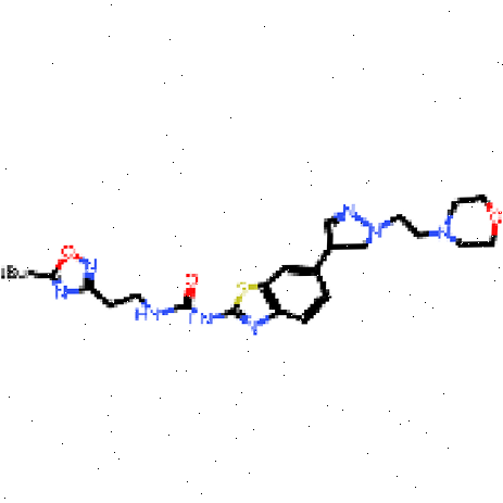 CC(C)(C)c1nc(CCNC(=O)Nc2nc3ccc(C4C=NN(CCN5CCOCC5)C4)cc3s2)no1